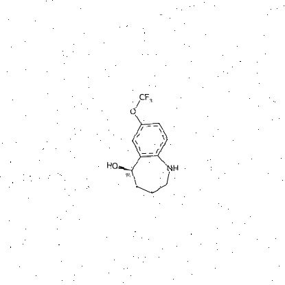 O[C@@H]1CCCNc2ccc(OC(F)(F)F)cc21